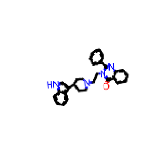 O=c1c2ccccc2nc(-c2ccccc2)n1CCN1CCC(c2c[nH]c3ccccc23)CC1